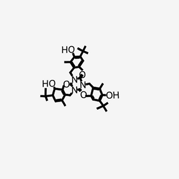 CC1=CC(C(C)(C)C)C(O)C(C)=C1Cn1c(=O)n(Cc2c(C)cc(C(C)(C)C)c(O)c2C)c(=O)n(Cc2c(C)cc(C(C)(C)C)c(O)c2C)c1=O